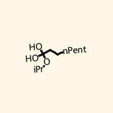 CCCCCCCC(O)(O)OC(C)C